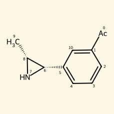 CC(=O)c1cccc([C@@H]2N[C@@H]2C)c1